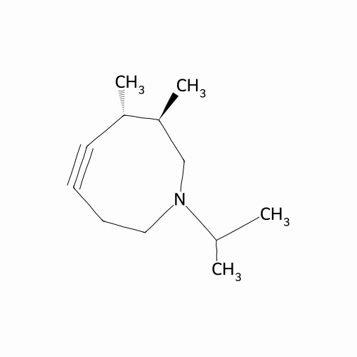 CC(C)N1CCC#C[C@H](C)[C@@H](C)C1